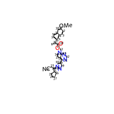 COc1ccc2cc([C@H](C)C(=O)OCn3ccc4c(-c5cnn([C@H](CC#N)C6CCCC6)c5)ncnc43)ccc2c1